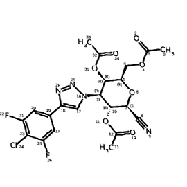 CC(=O)OC[C@H]1O[C@@H](C#N)[C@H](OC(C)=O)[C@@H](n2cc(-c3cc(F)c(Cl)c(F)c3)nn2)[C@H]1OC(C)=O